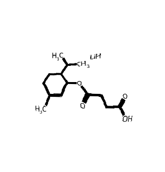 CC1CCC(C(C)C)C(OC(=O)CCC(=O)O)C1.[LiH]